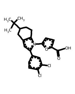 CC(C)(C)C1CCc2c(cc(-c3ccc(Cl)c(Cl)c3)n2-c2ccc(C(=O)O)o2)C1